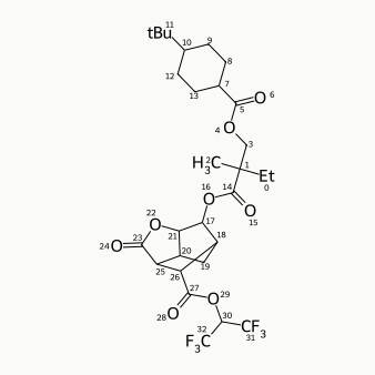 CCC(C)(COC(=O)C1CCC(C(C)(C)C)CC1)C(=O)OC1C2CC3C1OC(=O)C3C2C(=O)OC(C(F)(F)F)C(F)(F)F